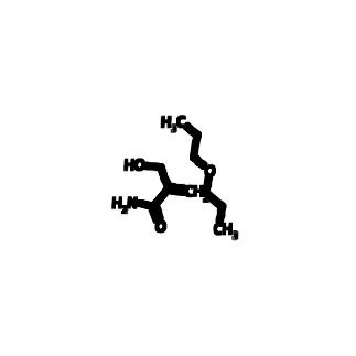 C=C(CO)C(N)=O.CCCOCCC